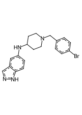 Brc1ccc(CN2CCC(Nc3ccc4[nH]ncc4c3)CC2)cc1